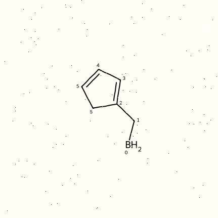 BCC1=CC=CC1